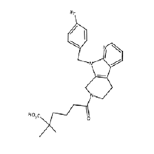 CC(C)c1ccc(Cn2c3c(c4cccnc42)CCN(C(=O)CCCC(C)(C)C(=O)O)C3)cc1